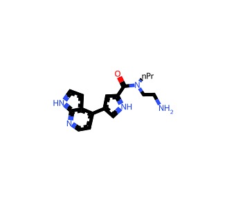 CCCN(CCN)C(=O)c1cc(-c2ccnc3[nH]ccc23)c[nH]1